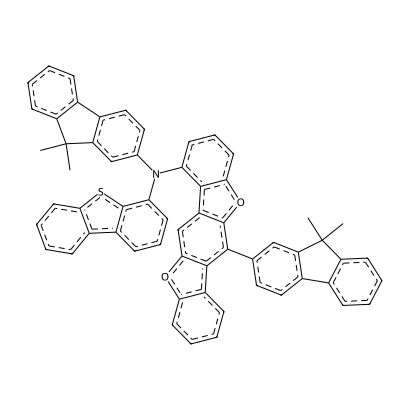 CC1(C)c2ccccc2-c2ccc(-c3c4oc5cccc(N(c6ccc7c(c6)C(C)(C)c6ccccc6-7)c6cccc7c6sc6ccccc67)c5c4cc4oc5ccccc5c34)cc21